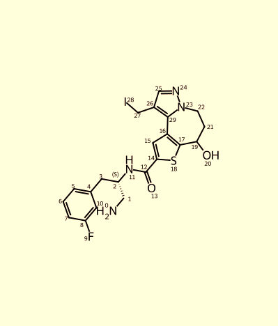 NC[C@H](Cc1cccc(F)c1)NC(=O)c1cc2c(s1)C(O)CCn1ncc(CI)c1-2